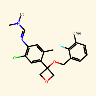 CCN(C)C=Nc1cc(C)c(C2(OCc3cccc(OC)c3F)COC2)cc1Cl